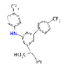 CC(C)CC(C(=O)O)c1cc(Nc2ccc(C(F)(F)F)cc2)cc(-c2ccc(C(F)(F)F)cc2)c1